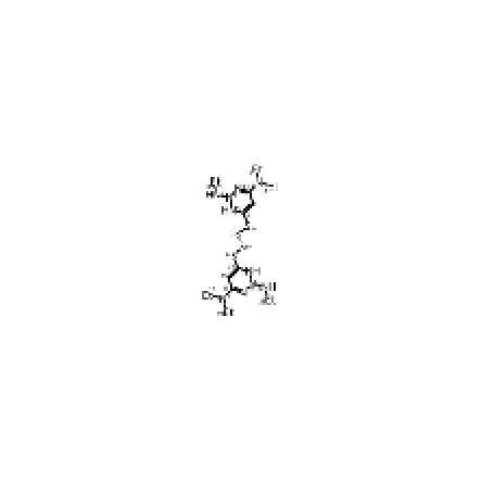 CCNN1N=C(N(CC)CC)C=C(SSSSC2=CC(N(CC)CC)=NN(NCC)N2)N1